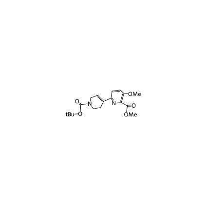 COC(=O)c1nc(C2=CCN(C(=O)OC(C)(C)C)CC2)ccc1OC